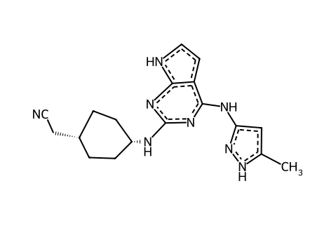 Cc1cc(Nc2nc(N[C@H]3CC[C@@H](CC#N)CC3)nc3[nH]ccc23)n[nH]1